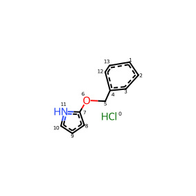 Cl.c1ccc(COc2ccc[nH]2)cc1